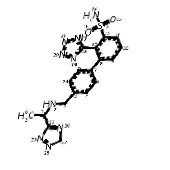 CC(NCc1ccc(-c2cccc(S(N)(=O)=O)c2-c2nnn[nH]2)cc1)C1=NCN=N1